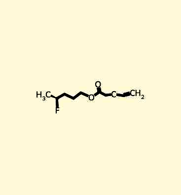 C=CCCC(=O)OCCC[C@H](C)F